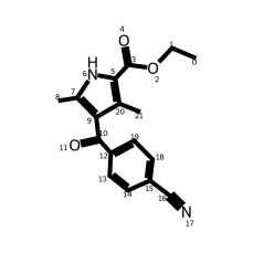 CCOC(=O)c1[nH]c(C)c(C(=O)c2ccc(C#N)cc2)c1C